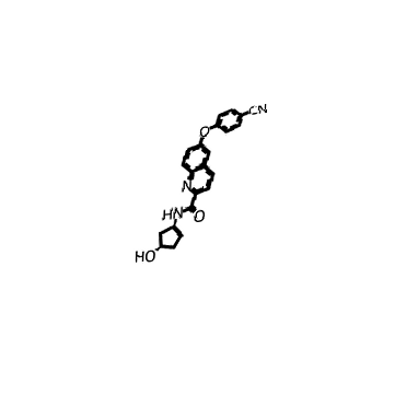 N#Cc1ccc(Oc2ccc3nc(C(=O)N[C@H]4CC[C@@H](O)C4)ccc3c2)cc1